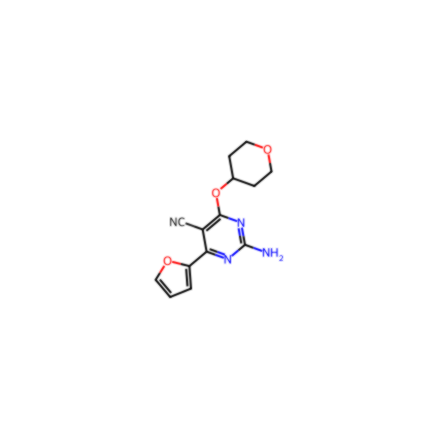 N#Cc1c(OC2CCOCC2)nc(N)nc1-c1ccco1